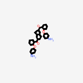 Nc1ccc(Oc2ccccc2C(=O)c2ccc3cc(C(=O)c4ccccc4Oc4ccc(N)cc4)ccc3c2)cc1